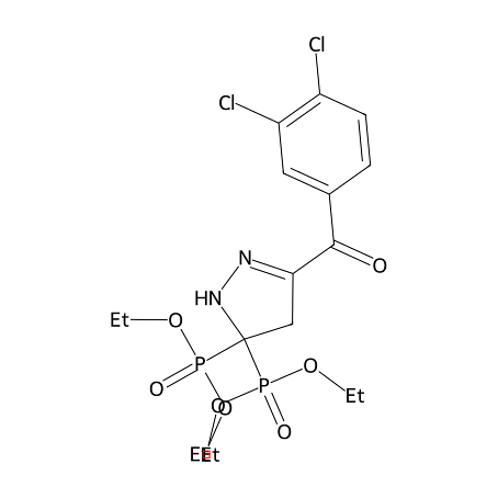 CCOP(=O)(OCC)C1(P(=O)(OCC)OCC)CC(C(=O)c2ccc(Cl)c(Cl)c2)=NN1